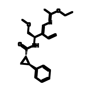 C=C/C(=C\N=C(/C)OCC)[C@H](COC)NC(=O)[C@H]1C[C@@H]1c1ccccc1